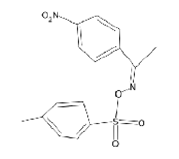 CC(=NOS(=O)(=O)c1ccc(C)cc1)c1ccc([N+](=O)[O-])cc1